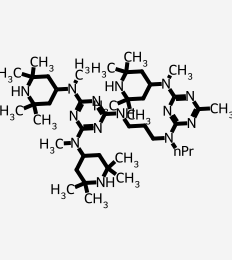 CCCN(CCCNc1nc(N(C)C2CC(C)(C)NC(C)(C)C2)nc(N(C)C2CC(C)(C)NC(C)(C)C2)n1)c1nc(C)nc(N(C)C2CC(C)(C)NC(C)(C)C2)n1